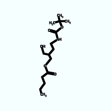 CCCCC(=O)OCC(CO)CCNC(=O)OC(C)(C)C